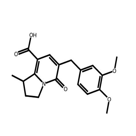 COc1ccc(Cc2cc(C(=O)O)c3n(c2=O)CCC3C)cc1OC